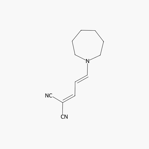 N#CC(C#N)=CC=CN1CCCCCC1